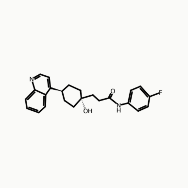 O=C(CC[C@]1(O)CC[C@H](c2ccnc3ccccc32)CC1)Nc1ccc(F)cc1